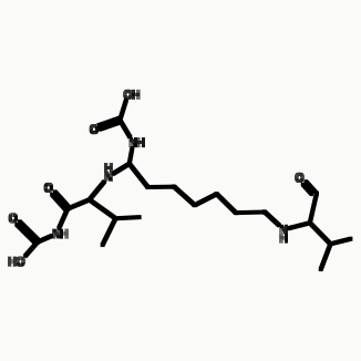 CC(C)C(C=O)NCCCCCCC(NC(=O)O)NC(C(=O)NC(=O)O)C(C)C